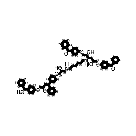 O=C(c1ccccc1)c1ccc(OCC(O)CC(NCCCCCCNCC(O)COc2ccc(C(CC(O)COc3ccc(C(O)c4ccccc4)cc3)c3ccccc3)cc2)C(O)COc2ccc(C(=O)c3ccccc3)cc2)cc1